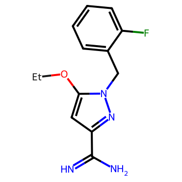 CCOc1cc(C(=N)N)nn1Cc1ccccc1F